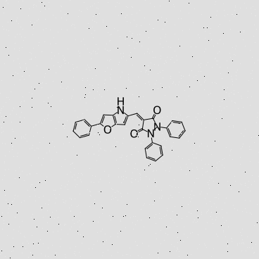 O=C1C(=Cc2cc3oc(-c4ccccc4)cc3[nH]2)C(=O)N(c2ccccc2)N1c1ccccc1